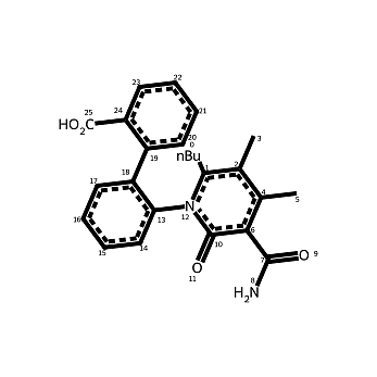 CCCCc1c(C)c(C)c(C(N)=O)c(=O)n1-c1ccccc1-c1ccccc1C(=O)O